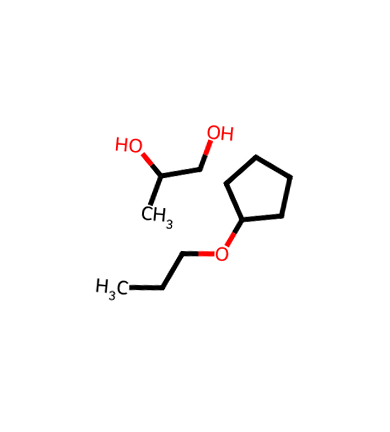 CC(O)CO.CCCOC1CCCC1